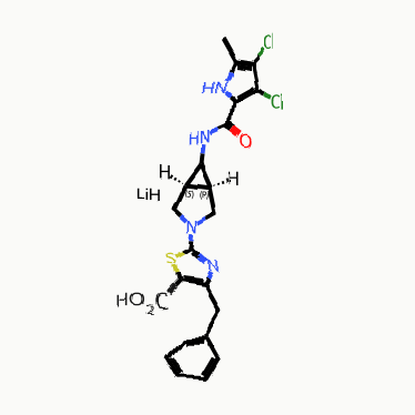 Cc1[nH]c(C(=O)NC2[C@H]3CN(c4nc(Cc5ccccc5)c(C(=O)O)s4)C[C@@H]23)c(Cl)c1Cl.[LiH]